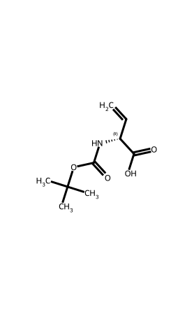 C=C[C@@H](NC(=O)OC(C)(C)C)C(=O)O